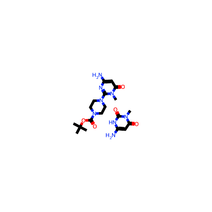 Cn1c(=O)cc(N)[nH]c1=O.Cn1c(N2CCN(C(=O)OC(C)(C)C)CC2)nc(N)cc1=O